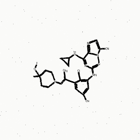 CC1(OF)CCN(CC(O)c2cc(C#N)cc(Nc3nc(NC4CC4)c4ncc(C#N)n4n3)c2Cl)CC1